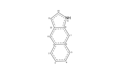 [c]1c2ccccc2cc2[nH]ccc12